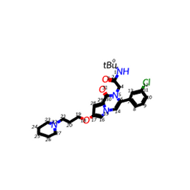 CC(C)(C)NC(=O)Cn1c(-c2cccc(Cl)c2)cn2cc(OCCCN3CCCCC3)cc2c1=O